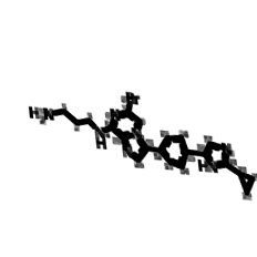 NCCCNc1nc(Br)cn2c(-c3ccc(-c4cnc(C5CC5)[nH]4)cc3)cnc12